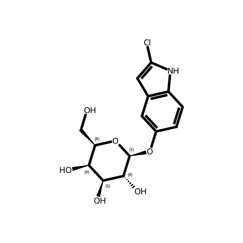 OC[C@H]1O[C@@H](Oc2ccc3[nH]c(Cl)cc3c2)[C@H](O)[C@@H](O)[C@H]1O